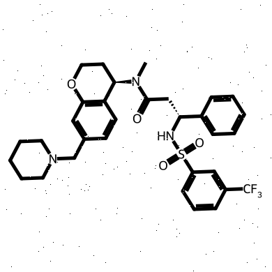 CN(C(=O)C[C@@H](NS(=O)(=O)c1cccc(C(F)(F)F)c1)c1ccccc1)[C@@H]1CCOc2cc(CN3CCCCC3)ccc21